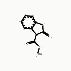 CCCCNC(=O)C1C(=O)Sc2ccccc21